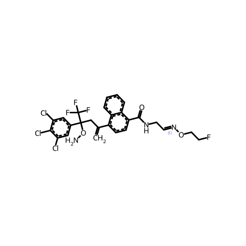 C=C(CC(ON)(c1cc(Cl)c(Cl)c(Cl)c1)C(F)(F)F)c1ccc(C(=O)NC/C=N/OCCF)c2ccccc12